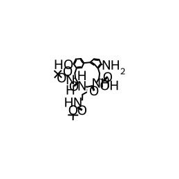 CC(C)(C)OC(=O)NCCC[C@@H]1NC(=O)[C@@H](NC(=O)OC(C)(C)C)Cc2cc(ccc2O)-c2ccc(N)c(c2)C[C@@H](C(=O)O)NC1=O